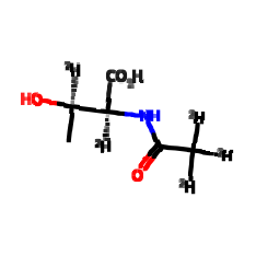 [2H]C([2H])([2H])C(=O)N[C@]([2H])(C(=O)O)[C@@]([2H])(C)O